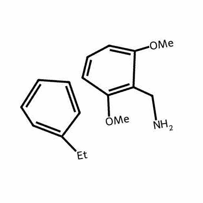 CCc1ccccc1.COc1cccc(OC)c1CN